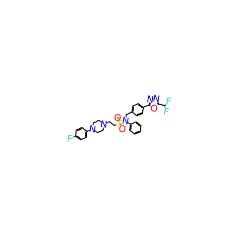 O=S(=O)(CCN1CCN(c2ccc(F)cc2)CC1)N(Cc1ccc(-c2nnc(C(F)F)o2)cc1)c1ccccc1